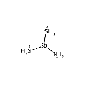 [NH2][Sb]([SiH3])[SiH3]